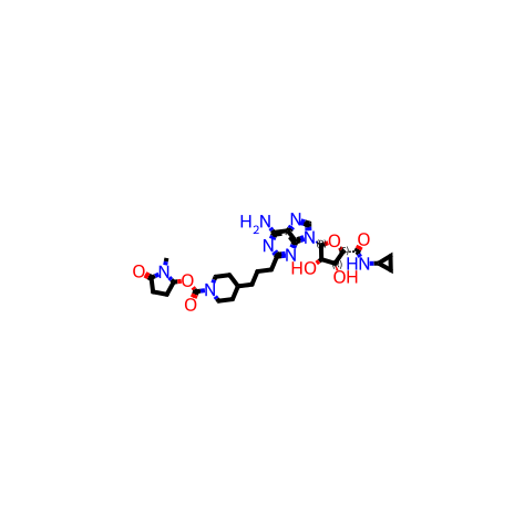 CN1C(=O)CCC1OC(=O)N1CCC(CCCc2nc(N)c3ncn([C@@H]4O[C@H](C(=O)NC5CC5)[C@H](O)C4O)c3n2)CC1